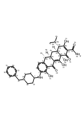 C[C@H]1c2ccc(NC3CCN(Cc4ccccc4)CC3)c(O)c2C(=O)C2=C(O)[C@]3(O)C(=O)C(C(N)=O)=C(O)[C@@H](N(C)C)[C@@H]3C[C@@H]21